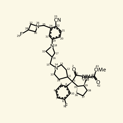 CNC(=O)[C@@](c1cccc(F)c1)(C1CCN(CC2CN(c3ccc(C#N)c(CN4CC(F)C4)c3)C2)CC1)[C@H]1CCC[C@@H]1NC(=O)OC